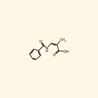 CC(=CNC(=O)c1ccccc1)C(=O)O